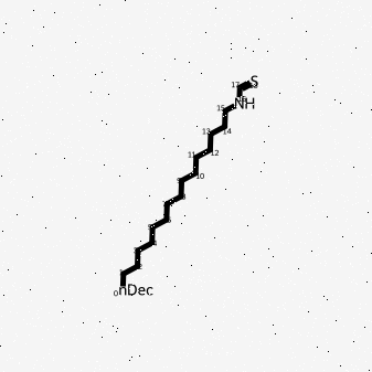 CCCCCCCCCCCCCCCCCCCCCCCCCNC=S